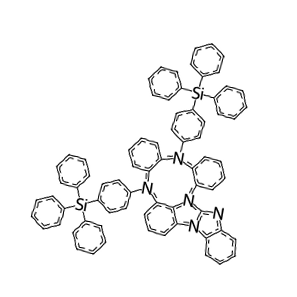 c1ccc([Si](c2ccccc2)(c2ccccc2)c2ccc(-n3c4ccccc4n(-c4ccc([Si](c5ccccc5)(c5ccccc5)c5ccccc5)cc4)c4cccc5c4n(c4ccccc43)c3nc4ccccc4n53)cc2)cc1